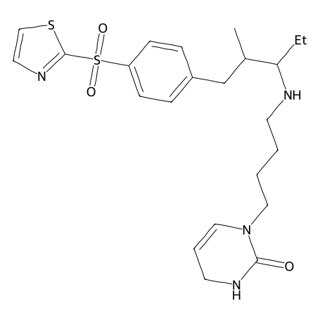 CCC(NCCCCN1C=CCNC1=O)C(C)Cc1ccc(S(=O)(=O)c2nccs2)cc1